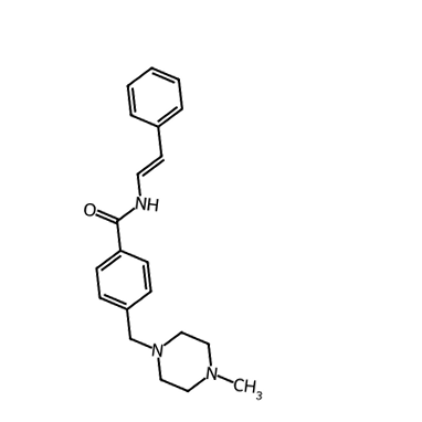 CN1CCN(Cc2ccc(C(=O)NC=Cc3ccccc3)cc2)CC1